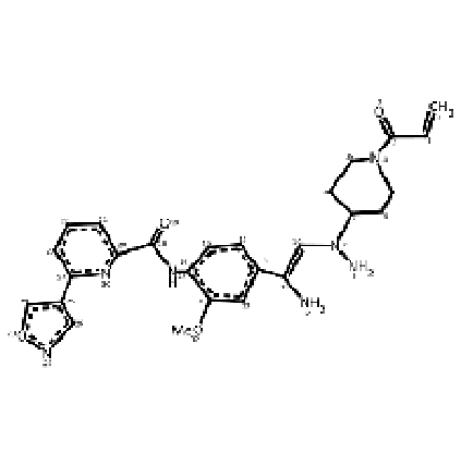 C=CC(=O)N1CCC(N(N)/C=C(\N)c2ccc(NC(=O)c3cccc(-c4cnoc4)n3)c(OC)c2)CC1